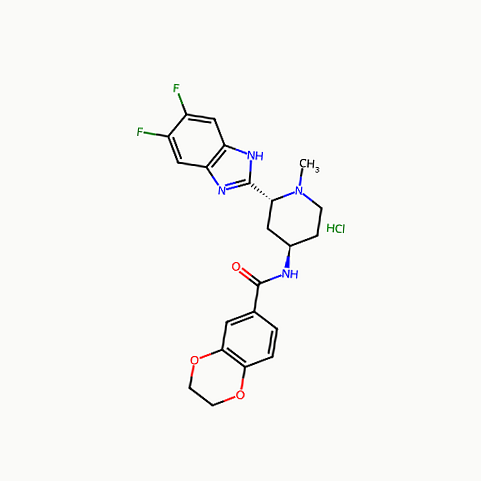 CN1CC[C@@H](NC(=O)c2ccc3c(c2)OCCO3)C[C@@H]1c1nc2cc(F)c(F)cc2[nH]1.Cl